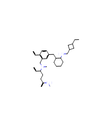 C=Cc1ccc(CC2CCCCC2NCC2CC(CC)C2)cc1CN(C)C(C=C)CCC(=C)NC